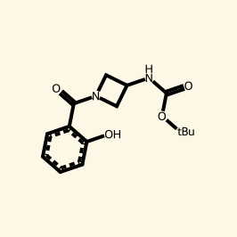 CC(C)(C)OC(=O)NC1CN(C(=O)c2ccccc2O)C1